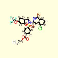 CCOC(=O)c1ccc(S(=O)(=O)N(Cc2ccc(OC(F)(F)F)cc2)c2cc3c(Cl)cccc3c(Br)n2)cc1